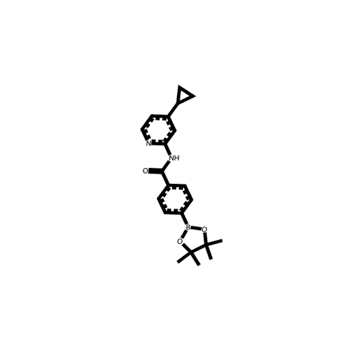 CC1(C)OB(c2ccc(C(=O)Nc3cc(C4CC4)ccn3)cc2)OC1(C)C